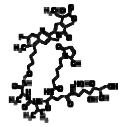 CC[C@@]1(O)C(=O)OCc2c1cc1n(c2=O)Cc2cc3c(CCCCOCNC(=O)[C@H](C)NC(=O)[C@@H](NC(=O)[C@H](CCC(=O)NC[C@H](O)[C@@H](O)[C@H](O)[C@H](O)CO)NC(=O)CCCCCN4C(=O)C=CC4O)C(C)C)c(C)c(F)cc3nc2-1